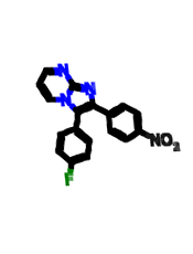 O=[N+]([O-])c1ccc(-c2nc3ncccn3c2-c2ccc(F)cc2)cc1